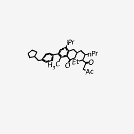 CCCC(CC1CC(=O)c2c(C)c(-c3ccc(CC4CCCC4)cc3)cc(C(C)C)c2C1)C(CC)C(=O)CC(C)=O